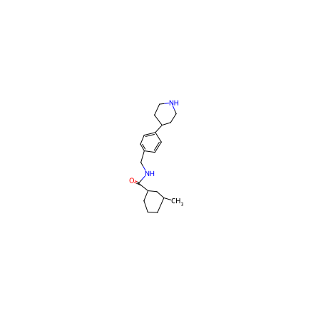 CC1CCCC(C(=O)NCc2ccc(C3CCNCC3)cc2)C1